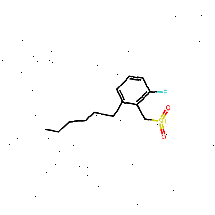 CCCCCCc1cccc(F)c1C[SH](=O)=O